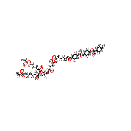 C=CC(=O)OCCCCCC(=O)OCC(C)(COC(=O)CCCCCOC(=O)C=C)COC(=O)CCC(=O)OC(=O)CCCCCOc1ccc(C(=O)Oc2ccc(OC(=O)c3ccc(C)cc3)cc2)cc1